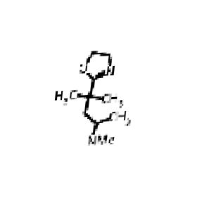 CNC(C)CC(C)(C)C1=NCCO1